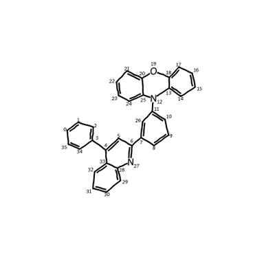 c1ccc(-c2cc(-c3cccc(N4c5ccccc5Oc5ccccc54)c3)nc3ccccc23)cc1